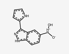 [O-][NH+](O)c1ccc2[nH]nc(-c3ccc[nH]3)c2c1